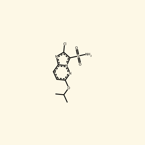 CC(C)Oc1ccc2nc(Cl)c(S(N)(=O)=O)n2n1